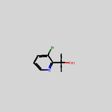 CC(C)(O)c1ncccc1Br